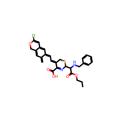 C=c1cc2c(c/c1=C/C=C1\CSC(C(NCc3ccccc3)C(=O)OCCC)N=C1C(=O)O)C=C(Cl)OC2